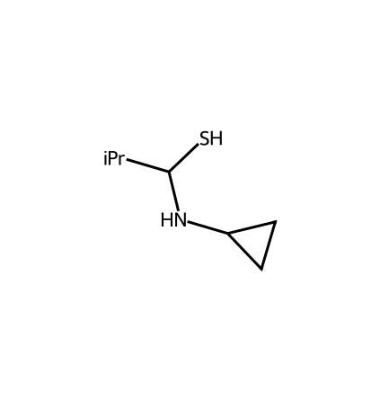 CC(C)C(S)NC1CC1